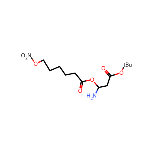 CC(C)(C)OC(=O)CC(N)OC(=O)CCCCCO[N+](=O)[O-]